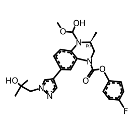 COC(O)N1c2ccc(-c3cnn(CC(C)(C)O)c3)cc2N(C(=O)Oc2ccc(F)cc2)C[C@@H]1C